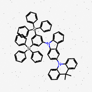 CC1(C)c2ccccc2N(c2ccc3c(c2)c2ccccc2n3-c2cc([Si](c3ccccc3)(c3ccccc3)c3ccccc3)cc([Si](c3ccccc3)(c3ccccc3)c3ccccc3)c2)c2ccccc21